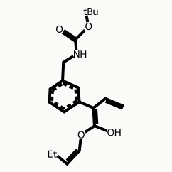 C=C/C(=C(\O)O/C=C\CC)c1cccc(CNC(=O)OC(C)(C)C)c1